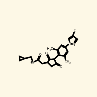 Cc1cc(-n2cc(Cl)cn2)cc(C)c1C1C(=O)CC(CC(=O)NCC2CC2)C1=O